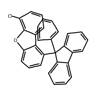 Clc1cccc2c1oc1cccc(C3(c4ccccc4)c4ccccc4-c4ccccc43)c12